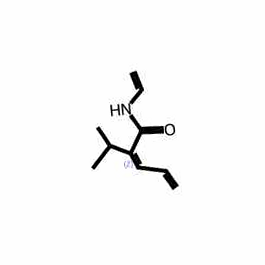 C=C/C=C(\C(=O)NC=C)C(C)C